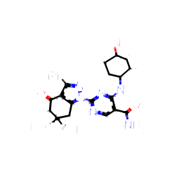 CC(C)c1nn(-c2ncc(C(N)=O)c(NC3CCC(O)CC3)n2)c2c1C(=O)CC(C)(C)C2